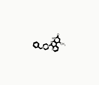 CC1CC(=O)Nc2nc(N3CCN(Cc4ccccc4)CC3)c3ncccc3c21